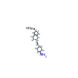 CCCCCCc1ccc2cc(C#Cc3ccc(N)cc3)ccc2c1